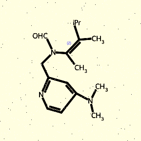 C/C(=C(\C)N(C=O)Cc1cc(N(C)C)ccn1)C(C)C